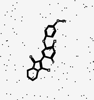 CC(C)Oc1ccc(Oc2cc(-c3c(Cl)n4n(c3=O)CCCC4)c(F)cc2Cl)cc1